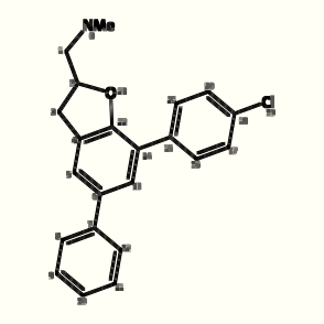 CNCC1Cc2cc(-c3ccccc3)cc(-c3ccc(Cl)cc3)c2O1